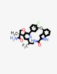 COc1cccc2[nH]c(C(=O)NCC(c3cc4c(c(-c5ccc(F)cc5)n3)OC[C@]4(C)C(N)=O)C(F)(F)F)cc12